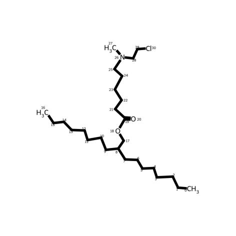 CCCCCCCCC(CCCCCCCC)COC(=O)CCCCCN(C)CCCl